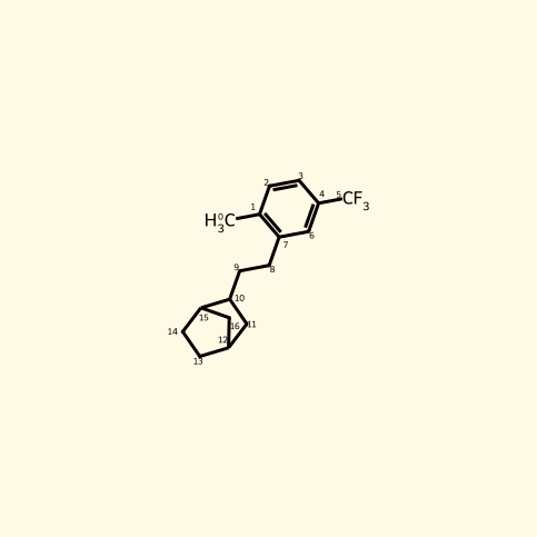 Cc1ccc(C(F)(F)F)cc1CCC1CC2CCC1C2